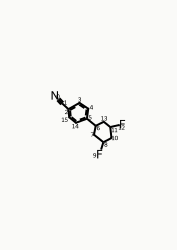 N#Cc1ccc(C2CC(F)CC(F)C2)cc1